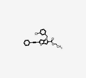 CCOC(=O)c1cc2sc(C#Cc3ccccc3)cc2n1Cc1cccc(Cl)c1